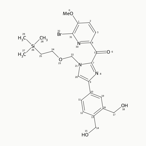 COc1ccc(C(=O)c2nc(-c3ccc(CO)c(CO)c3)cn2COCC[Si](C)(C)C)nc1Br